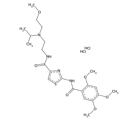 COCCN(CCNC(=O)c1csc(NC(=O)c2cc(OC)c(OC)cc2OC)n1)C(C)C.Cl.Cl